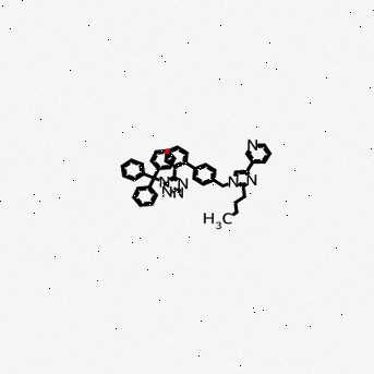 CCCCc1nc(-c2cccnc2)cn1Cc1ccc(-c2ccccc2-c2nnnn2C(c2ccccc2)(c2ccccc2)c2ccccc2)cc1